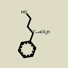 O=C(O)[C@@H](CCO)c1ccccc1